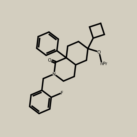 CCCOC1(C2CCC2)CCC2(c3ccccc3)C(=O)N(Cc3ccccc3F)CCC2C1